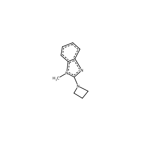 Cn1c(N2CCC2)nc2ccccc21